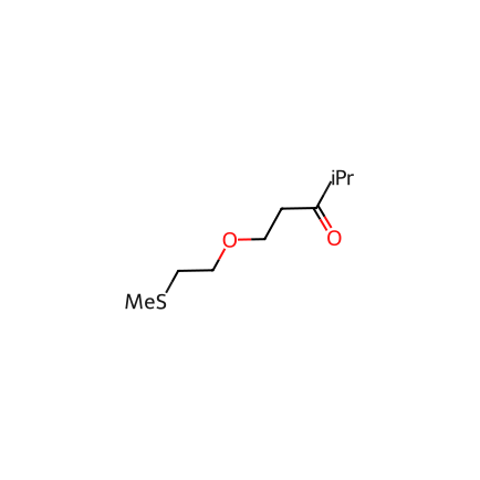 CSCCOCCC(=O)C(C)C